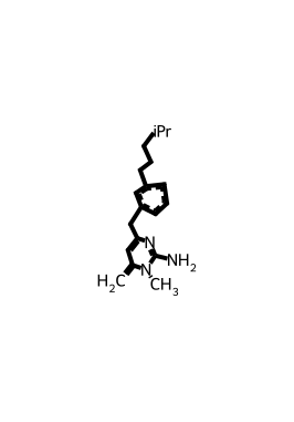 C=C1C=C(Cc2cccc(CCCC(C)C)c2)N=C(N)N1C